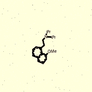 COc1cccc2cccc(CCN(C(C)C)C(C)C)c12